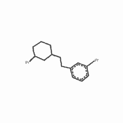 CC(C)c1cccc(CCC2CCCC(C(C)C)C2)c1